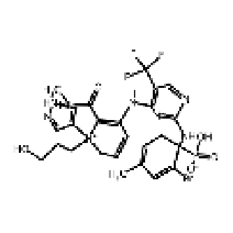 CNC(=O)C1=C(Nc2nc(NC3(P(=O)([O-])O)CC=C(C)C=C3Br)ncc2C(F)(F)F)C=CC[N+]1(CCCO)c1cn[nH]c1